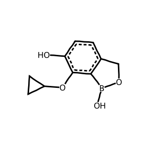 OB1OCc2ccc(O)c(OC3CC3)c21